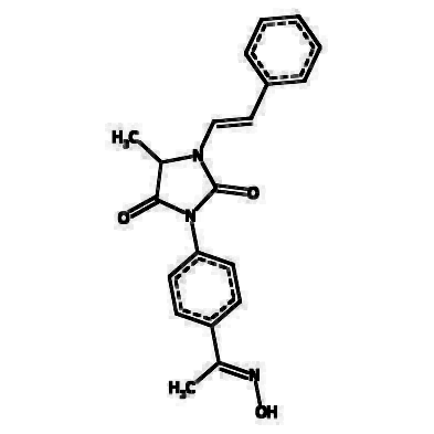 CC(=NO)c1ccc(N2C(=O)C(C)N(C=Cc3ccccc3)C2=O)cc1